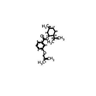 C=C(C)COc1cccc(C(=O)OC2CC(C)CCC2C(C)C)c1